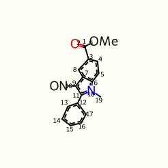 COC(=O)c1ccc2c(c1)c(N=O)c(-c1ccccc1)n2C